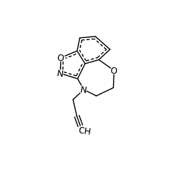 C#CCN1CCOc2cccc3onc1c23